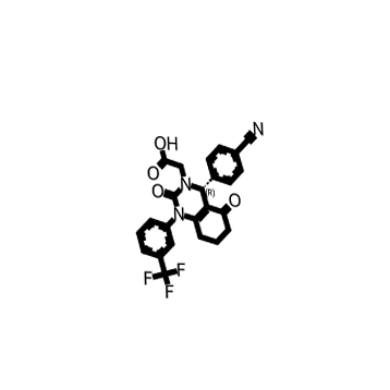 N#Cc1ccc([C@@H]2C3=C(CCCC3=O)N(c3cccc(C(F)(F)F)c3)C(=O)N2CC(=O)O)cc1